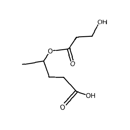 CC(CCC(=O)O)OC(=O)CCO